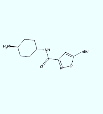 CCCCc1cc(C(=O)N[C@H]2CC[C@H](N)CC2)no1